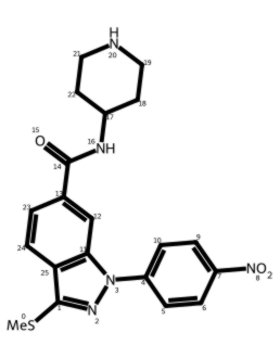 CSc1nn(-c2ccc([N+](=O)[O-])cc2)c2cc(C(=O)NC3CCNCC3)ccc12